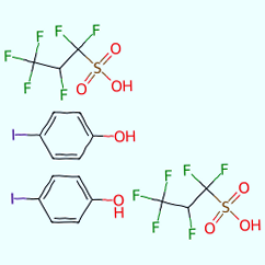 O=S(=O)(O)C(F)(F)C(F)C(F)(F)F.O=S(=O)(O)C(F)(F)C(F)C(F)(F)F.Oc1ccc(I)cc1.Oc1ccc(I)cc1